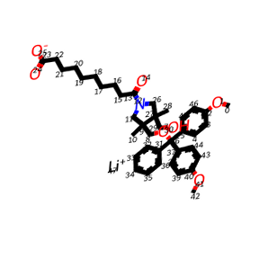 COc1ccc(C(OCC2(C)CN(C(=O)CCCCCCCCC(=O)[O-])CC2(C)CO)(c2ccccc2)c2ccc(OC)cc2)cc1.[Li+]